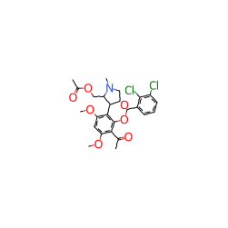 COc1cc(OC)c(C2CCN(C)C2COC(C)=O)c(OC(=O)c2cccc(Cl)c2Cl)c1C(C)=O